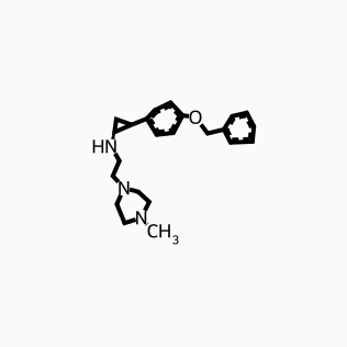 CN1CCN(CCN[C@H]2CC2c2ccc(OCc3ccccc3)cc2)CC1